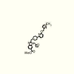 COC(=O)c1ccc2nc(CN3CCC(c4cccc(OCc5ccn(C)n5)n4)CC3)n(C[C@@H]3CCO3)c2c1